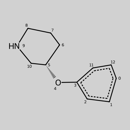 c1ccc(O[C@H]2CCCNC2)cc1